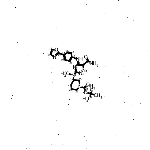 CN(c1nnc(C(N)=O)c(Nc2ccc(-c3ncco3)cc2)n1)[C@@H]1CCCN(C(=O)OC(C)(C)C)C1